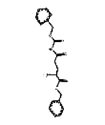 N[C@@H](CCC(=O)NC(=O)OCc1ccccc1)C(=O)OCc1ccccc1